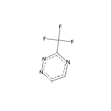 FC(F)(F)c1nc[c]nn1